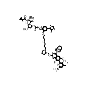 Cc1cc(N)nc(-c2c(Cl)cc3c(N4CC5CCC(C4)N5)nc(OC[C@@H]4CCCN4CCCOCCCOc4cc(-c5scnc5C)ccc4CNC(=O)C[C@@H]4C[C@@H](O)CN4C(=O)[C@H](NC(=O)C4(F)CC4)C(C)(C)C)nc3c2F)c1C(F)(F)F